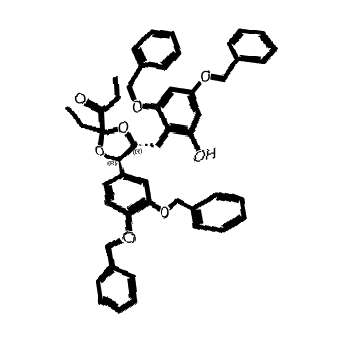 CCC(=O)C1(CC)O[C@H](c2ccc(OCc3ccccc3)c(OCc3ccccc3)c2)[C@@H](Cc2c(O)cc(OCc3ccccc3)cc2OCc2ccccc2)O1